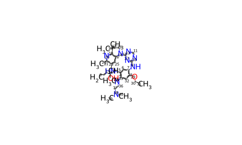 C=CC(O)Nc1cc(Nc2ncnc(N3CC(C)(C)c4nc(C)c(C)cc43)n2)c(OCC)cc1N(C)CCN(C)C